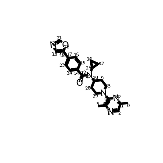 Cc1cnc(C)c(N2CCC(N(C(=O)c3ccc(-c4cnco4)cc3)C3CC3)CC2)n1